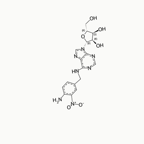 Nc1ccc(CNc2ncnc3c2ncn3[C@@H]2O[C@H](CO)[C@@H](O)[C@H]2O)cc1[N+](=O)[O-]